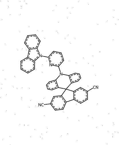 N#Cc1ccc2c(c1)C1(c3cc(C#N)ccc3-2)c2ccccc2N(c2cccc(-n3c4ccccc4c4ccccc43)n2)c2ccccc21